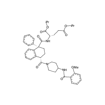 COc1ccccc1C(=O)NC1CCN(C(=O)[C@H]2CC[C@@](C(=O)N[C@@H](CCC(=O)OC(C)C)C(=O)OC(C)C)(c3ccccc3)c3ccccc32)CC1